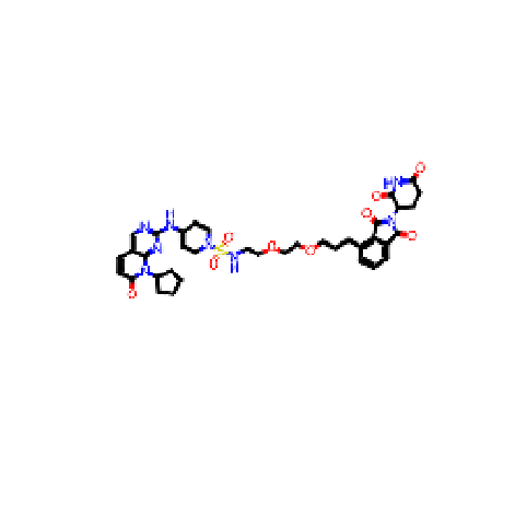 O=C1CCC(N2C(=O)c3cccc(CCCOCCOCCNS(=O)(=O)N4CCC(Nc5ncc6ccc(=O)n(C7CCCC7)c6n5)CC4)c3C2=O)C(=O)N1